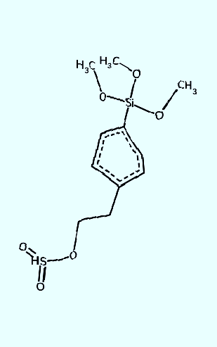 CO[Si](OC)(OC)c1ccc(CCO[SH](=O)=O)cc1